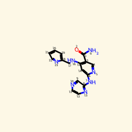 NC(=O)c1cnc(Nc2cnccn2)cc1NCc1ccccn1